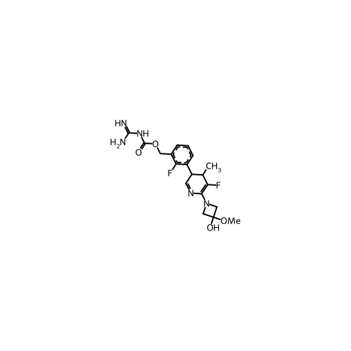 COC1(O)CN(C2=C(F)C(C)C(c3cccc(COC(=O)NC(=N)N)c3F)C=N2)C1